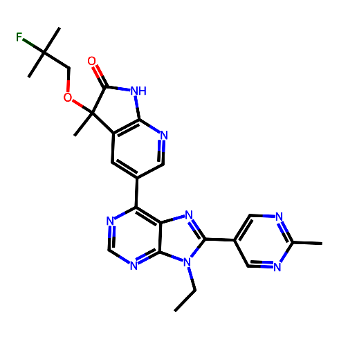 CCn1c(-c2cnc(C)nc2)nc2c(-c3cnc4c(c3)C(C)(OCC(C)(C)F)C(=O)N4)ncnc21